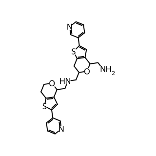 NCC1OC(CNCC2OCCc3sc(-c4cccnc4)cc32)Cc2sc(-c3cccnc3)cc21